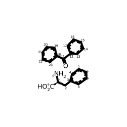 N[C@@H](Cc1ccccc1)C(=O)O.O=C(c1ccccc1)c1ccccc1